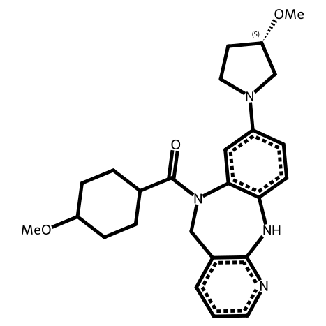 COC1CCC(C(=O)N2Cc3cccnc3Nc3ccc(N4CC[C@H](OC)C4)cc32)CC1